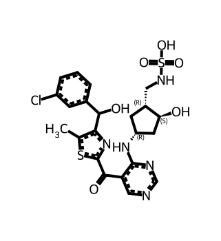 Cc1sc(C(=O)c2cncnc2N[C@@H]2C[C@H](CNS(=O)(=O)O)[C@@H](O)C2)nc1C(O)c1cccc(Cl)c1